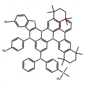 CC(C)(C)c1ccc(N2c3cc(N(c4ccccc4)c4ccc([Si](C)(C)C(C)(C)C)cc4)cc4c3B(c3cc5c(cc3N4c3cc4c(cc3-c3ccccc3)C(C)(C)CCC4(C)C)C(C)(C)CCC5(C)C)c3sc4ccc(C(C)(C)C)cc4c32)cc1